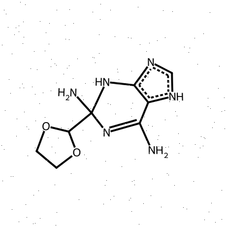 NC1=NC(N)(C2OCCO2)Nc2nc[nH]c21